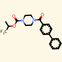 CC(OC(=O)N1CCN(C(=O)c2ccc(-c3ccccc3)cc2)CC1)C(F)(F)F